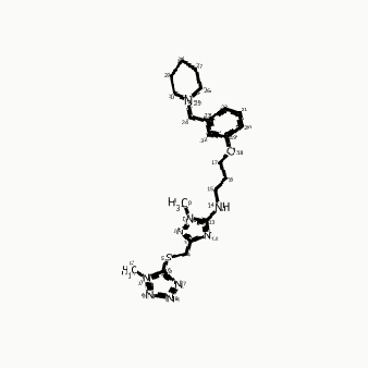 Cn1nc(CSc2nnnn2C)nc1NCCCOc1cccc(CN2CCCCC2)c1